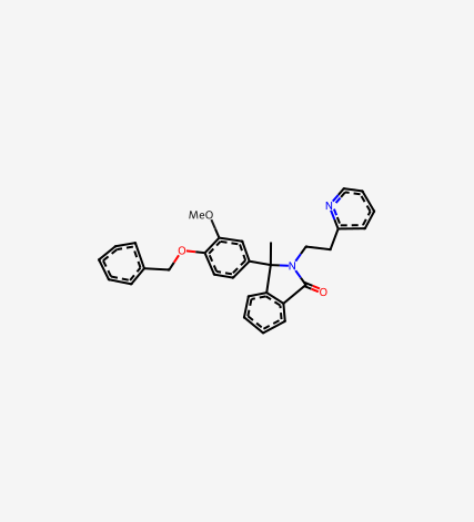 COc1cc(C2(C)c3ccccc3C(=O)N2CCc2ccccn2)ccc1OCc1ccccc1